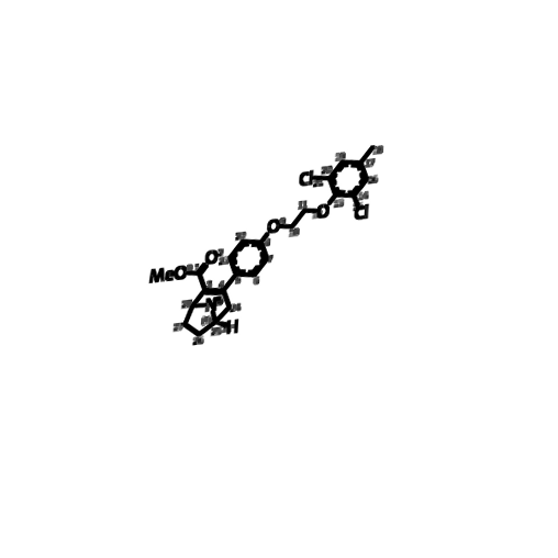 COC(=O)C1=C(c2ccc(OCCOc3c(Cl)cc(C)cc3Cl)cc2)C[C@@H]2CCC1N2C